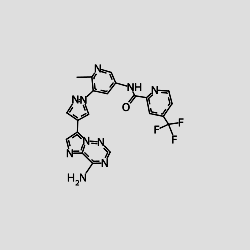 Cc1ncc(NC(=O)c2cc(C(F)(F)F)ccn2)cc1-n1cc(-c2cnc3c(N)ncnn23)cn1